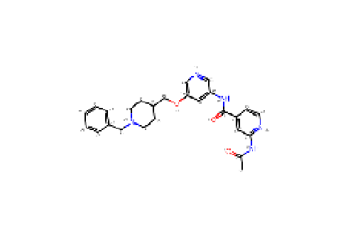 CC(=O)Nc1cc(C(=O)Nc2cncc(OCC3CCN(Cc4ccccc4)CC3)c2)ccn1